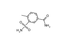 Cc1ccc(C(N)=O)cc1S(N)(=O)=O